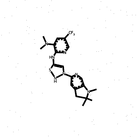 CN(C)c1cc(C(F)(F)F)cnc1NC1=CN(c2cc3c(cn2)N(C)C(C)(C)C3)NS1